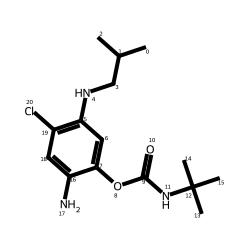 CC(C)CNc1cc(OC(=O)NC(C)(C)C)c(N)cc1Cl